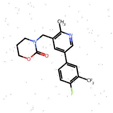 Cc1ncc(-c2ccc(F)c(C(F)(F)F)c2)cc1CN1CCCOC1=O